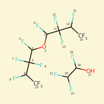 FC(OC(F)C(F)(F)C(F)C(F)(F)F)C(F)(F)C(F)C(F)(F)F.OC(F)C(F)F